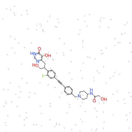 O=C(CO)NC1CCN(Cc2ccc(C#Cc3ccc(C(CO)Cc4nc[nH]c(=O)c4O)c(F)c3)cc2)CC1